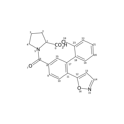 O=C(O)C1CCCN1C(=O)c1ccc(-c2ccno2)c(-c2ccccc2Cl)c1